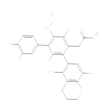 CONc1c(C)c(CC(=O)N=O)c(-c2cc(F)c3c(c2C)CCCO3)c(C)c1-c1ccc(F)c(C)c1